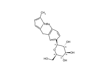 Cc1ccc(Cc2cc([C@@H]3O[C@H](CO)[C@@H](O)[C@H](O)[C@H]3O)cc[c]2[RaH])s1